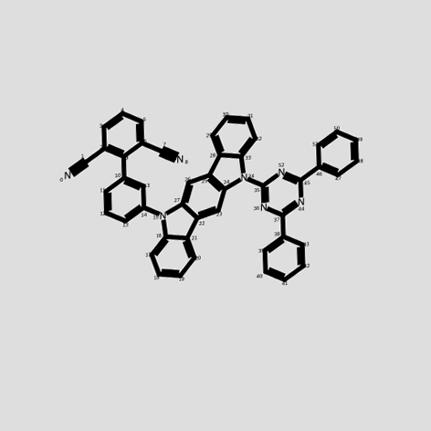 N#Cc1cccc(C#N)c1-c1cccc(-n2c3ccccc3c3cc4c(cc32)c2ccccc2n4-c2nc(-c3ccccc3)nc(-c3ccccc3)n2)c1